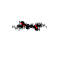 COC(=O)N[C@H](C(=O)N1C[C@@H]2CC[C@@]1(c1nc(-c3ccc(-c4ccc(-c5c[nH]c([C@@]67CC[C@@H](CN6C(=O)[C@@H](NC(=O)OC)C(C)C)C7)n5)c5cccnc45)cc3)c[nH]1)C2)C(C)C